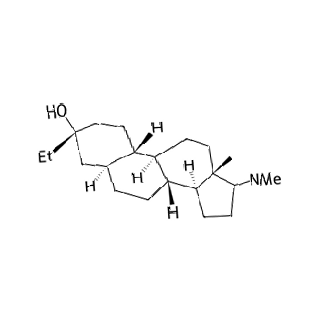 CC[C@@]1(O)CC[C@H]2[C@@H](CC[C@@H]3[C@@H]2CC[C@]2(C)C(NC)CC[C@@H]32)C1